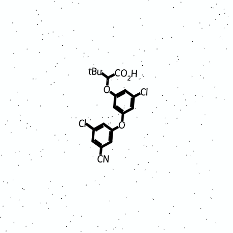 CC(C)(C)C(Oc1cc(Cl)cc(Oc2cc(Cl)cc(C#N)c2)c1)C(=O)O